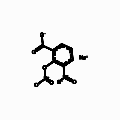 O=C([O-])c1cccc([N+](=O)[O-])c1O[N+](=O)[O-].[Na+]